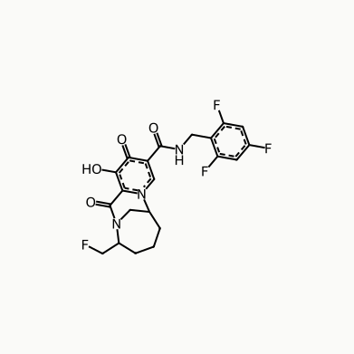 O=C(NCc1c(F)cc(F)cc1F)c1cn2c(c(O)c1=O)C(=O)N1CC2CCCC1CF